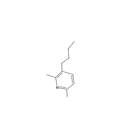 CCCCc1ccc(C)nc1C